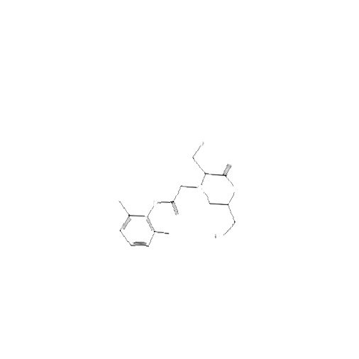 Cc1cccc(C)c1NC(=O)CN1CC(CC(C)C)NC(=O)C1CC(C)C